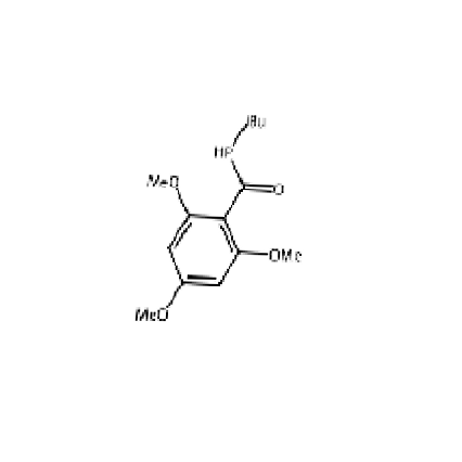 CCC(C)PC(=O)c1c(OC)cc(OC)cc1OC